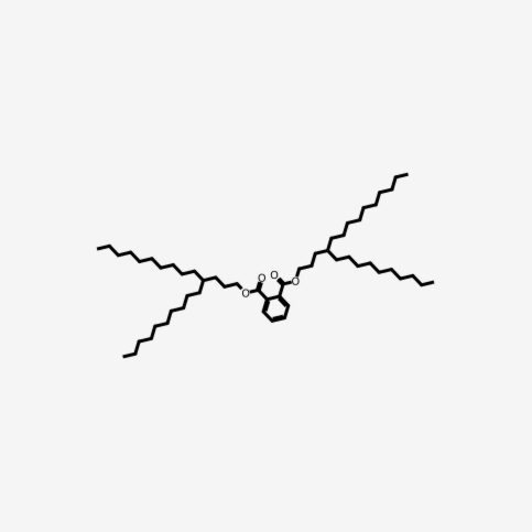 CCCCCCCCCCC(CCCCCCCCCC)CCCOC(=O)c1ccccc1C(=O)OCCCC(CCCCCCCCCC)CCCCCCCCCC